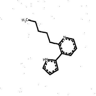 CCCCCc1ncccc1-c1ccc[nH]1